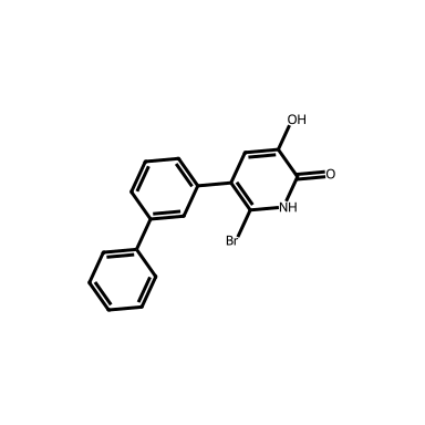 O=c1[nH]c(Br)c(-c2cccc(-c3ccccc3)c2)cc1O